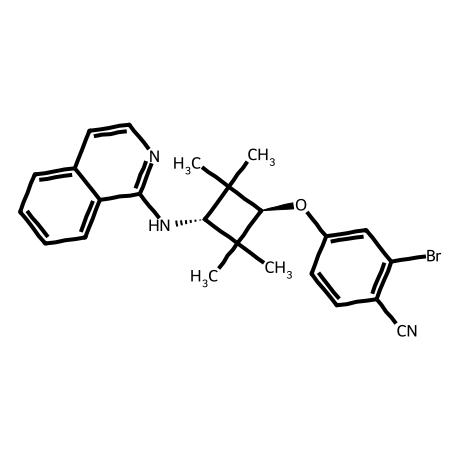 CC1(C)[C@H](Nc2nccc3ccccc23)C(C)(C)[C@H]1Oc1ccc(C#N)c(Br)c1